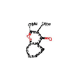 COc1oc2ccccc2c(=O)c1OC